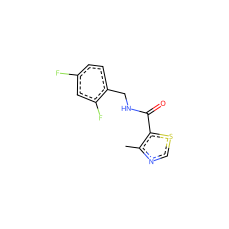 Cc1ncsc1C(=O)NCc1ccc(F)cc1F